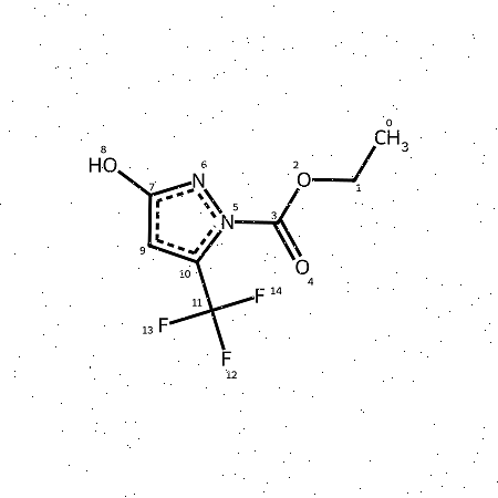 CCOC(=O)n1nc(O)cc1C(F)(F)F